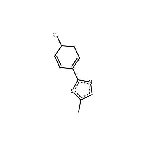 Cc1cnc(C2=CCC(Cl)C=C2)s1